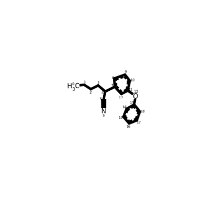 CCCCC(C#N)c1cccc(Oc2ccccc2)c1